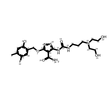 Cc1cc(Cl)c(COc2nsc(NC(=O)NCCCN(CCO)CCO)c2C(N)=O)cc1F